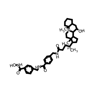 C[C@H](CCC(=O)NCc1ccc(C(=O)NCc2ccc(C(=O)NO)cc2)cc1)C1CCC2C3C(O)CC4CCCCC4(C)N3CCC21C